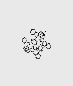 Cc1ccc2c(c1)c1cc(C)ccc1n2-c1nc(-n2c3ccccc3c3ccccc32)c(-n2c3ccccc3c3ccccc32)c(-c2nc(-c3ccccc3)nc(-c3ccccc3)n2)c1-n1c2ccccc2c2ccccc21